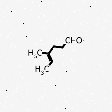 CC=C(C)CC[C]=O